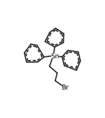 BrCC[CH2][Sn]([c]1ccccc1)([c]1ccccc1)[c]1ccccc1